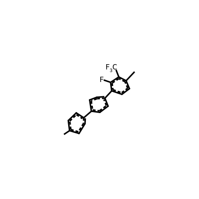 Cc1ccc(-c2ccc(-c3ccc(C)c(C(F)(F)F)c3F)cc2)cc1